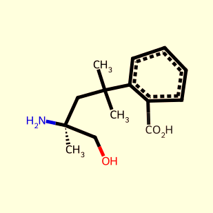 CC(C)(C[C@](C)(N)CO)c1ccccc1C(=O)O